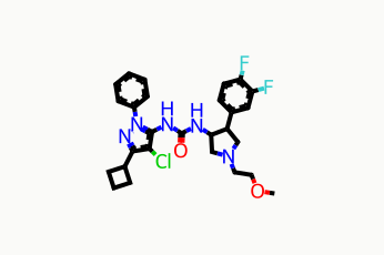 COCCN1CC(NC(=O)Nc2c(Cl)c(C3CCC3)nn2-c2ccccc2)C(c2ccc(F)c(F)c2)C1